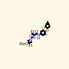 CCc1oc(N2CC(CC)(OC)C2)nc1C(=O)Nc1cc(F)c(OC2CC3CC3C2)c(Cl)c1